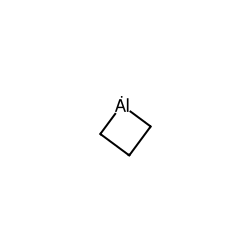 C1[CH2][Al][CH2]1